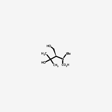 CC(C)(O)[C@@H](CO)N(C(=O)O)C(C)(C)C